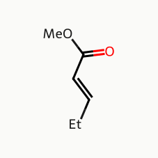 [CH2]OC(=O)C=CCC